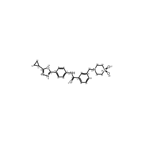 O=C(Nc1ccc(-c2nnc(C3CC3)o2)cc1)c1cccc(CN2CCS(=O)(=O)CC2)c1